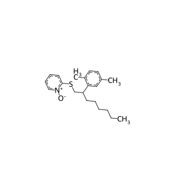 CCCCCCC(CSc1cccc[n+]1[O-])c1cc(C)ccc1C